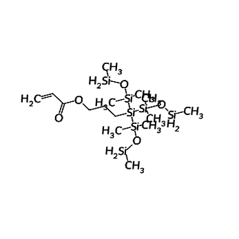 C=CC(=O)OCCC[Si]([Si](C)(C)O[SiH2]C)([Si](C)(C)O[SiH2]C)[Si](C)(C)O[SiH2]C